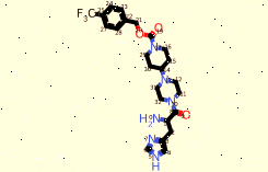 NC(Cc1c[nH]cn1)C(=O)N1CCN(C2CCN(C(=O)OCc3ccc(C(F)(F)F)cc3)CC2)CC1